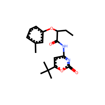 CCC(Oc1cccc(C)c1)C(=O)Nc1cc(C(C)(C)C)oc(=O)n1